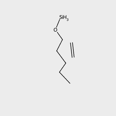 C=C.CCCCCO[SiH3]